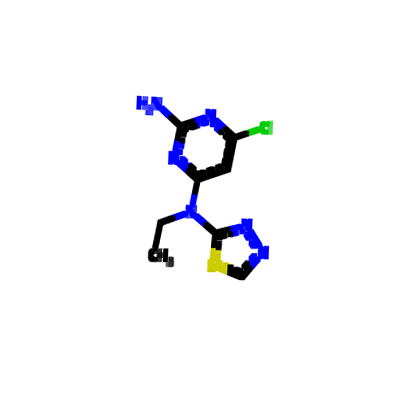 CCN(c1cc(Cl)nc(N)n1)c1nncs1